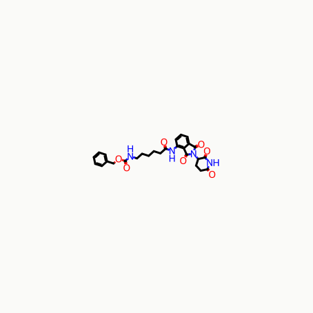 O=C1CCC(N2C(=O)c3cccc(NC(=O)CCCCCNC(=O)OCc4ccccc4)c3C2=O)C(=O)N1